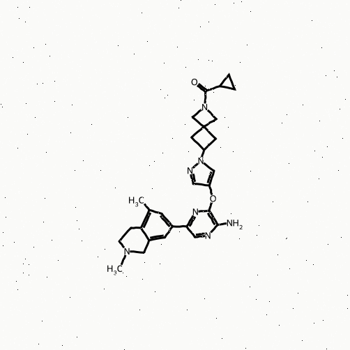 Cc1cc(-c2cnc(N)c(Oc3cnn(C4CC5(C4)CN(C(=O)C4CC4)C5)c3)n2)cc2c1CCN(C)C2